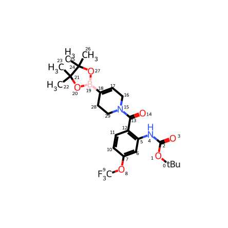 CC(C)(C)OC(=O)Nc1cc(OC(F)(F)F)ccc1C(=O)N1CC=C(B2OC(C)(C)C(C)(C)O2)CC1